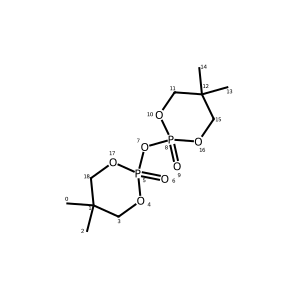 CC1(C)COP(=O)(OP2(=O)OCC(C)(C)CO2)OC1